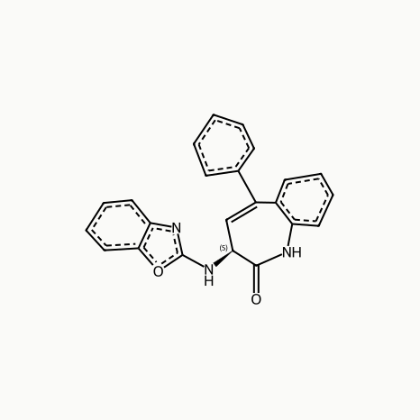 O=C1Nc2ccccc2C(c2ccccc2)=C[C@@H]1Nc1nc2ccccc2o1